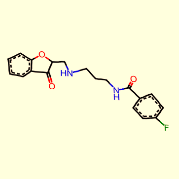 O=C(NCCCNCC1Oc2ccccc2C1=O)c1ccc(F)cc1